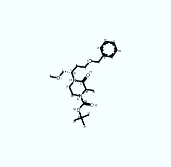 COC[C@H](CCOCc1ccccc1)N1CCN(C(=O)OC(C)(C)C)C(C)C1=O